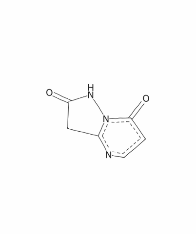 O=C1Cc2nccc(=O)n2N1